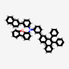 c1ccc(-c2c(-c3ccccc3)c3cc(-c4cccc(N(c5cccc(-c6ccc7ccccc7c6)c5)c5cccc6c5oc5ccccc56)c4)ccc3c3ccccc23)cc1